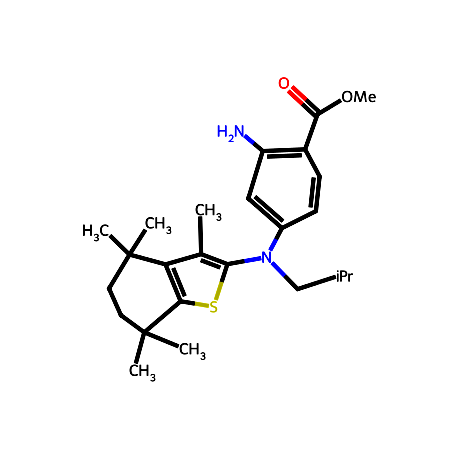 COC(=O)c1ccc(N(CC(C)C)c2sc3c(c2C)C(C)(C)CCC3(C)C)cc1N